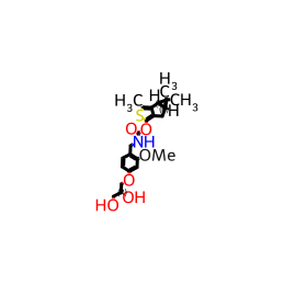 COc1cc(OC[C@H](O)CO)ccc1CNC(=O)Oc1sc(C)c2c1C[C@@H]1[C@H]2C1(C)C